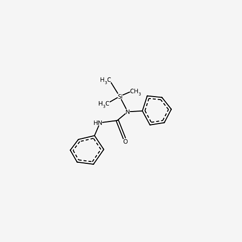 C[Si](C)(C)N(C(=O)Nc1ccccc1)c1ccccc1